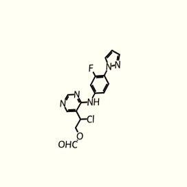 O=COCC(Cl)c1cncnc1Nc1ccc(-n2cccn2)c(F)c1